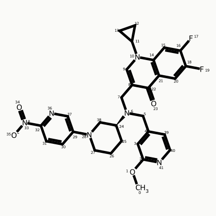 COc1cc(CN(Cc2cn(C3CC3)c3cc(F)c(F)cc3c2=O)[C@H]2CCCN(c3ccc([N+](=O)[O-])nc3)C2)ccn1